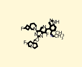 C/C=C\c1c(C)cc2[nH]ncc2c1-c1ncc2c(N3CCCC4(CC(F)C4)C3)nc(OC[C@@]34CCCN3C[C@H](F)C4)nc2c1F